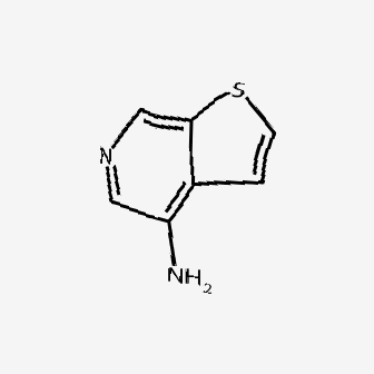 Nc1cncc2sccc12